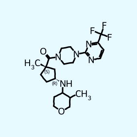 CC1COCCC1N[C@@H]1CC[C@](C)(C(=O)N2CCN(c3nccc(C(F)(F)F)n3)CC2)C1